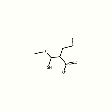 CCCC(C(S)SC)[N+](=O)[O-]